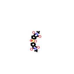 CC(C)(C)N1C(=O)c2ccc(S(=O)(=O)c3ccc4c(c3)C(=O)N(C(C)(C)C)C4=O)cc2C1=O